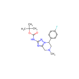 CN1Cc2nc(NC(=O)OC(C)(C)C)nn2C(c2ccc(F)cc2)C1